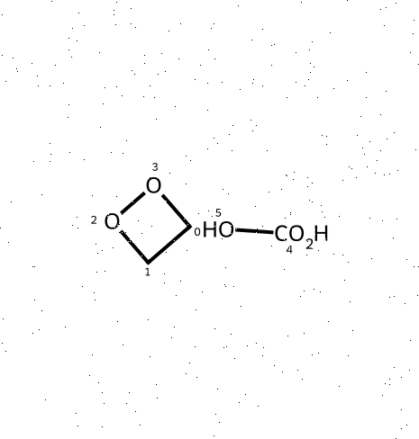 C1COO1.O=C(O)O